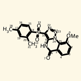 COc1cccc2c(=O)[nH]c3c(S(=O)(=O)c4ccc(C)cc4C)nnn3c12